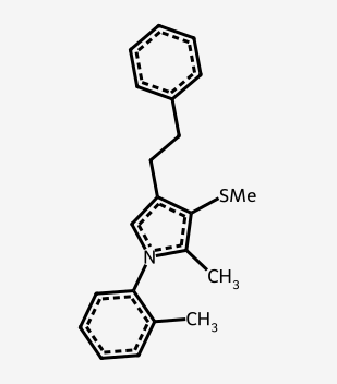 CSc1c(CCc2ccccc2)cn(-c2ccccc2C)c1C